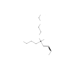 CCCCC(C)(C/C=C\I)OCCOCC